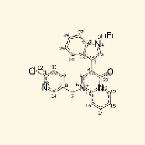 CCCn1cc(-c2c[n+](Cc3ccc(Cl)nc3)c3ccccn3c2=O)c2ccccc21